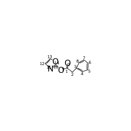 O=C(Cc1ccccc1)Oc1ncco1